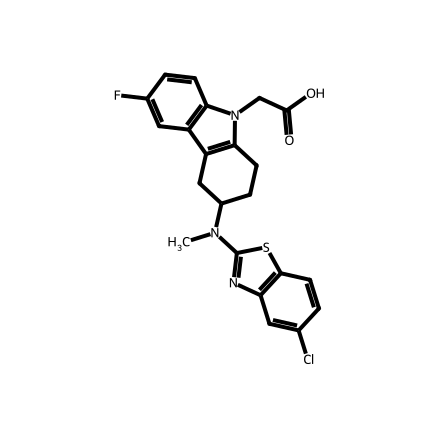 CN(c1nc2cc(Cl)ccc2s1)C1CCc2c(c3cc(F)ccc3n2CC(=O)O)C1